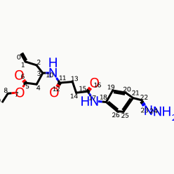 C=CCC(CC(=O)OCC)NC(=O)CCC(=O)Nc1ccc(C=NN)cc1